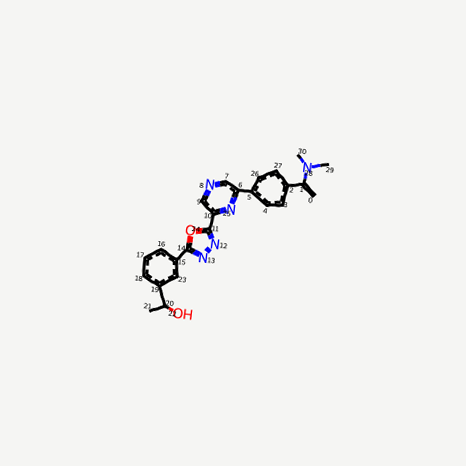 C=C(c1ccc(-c2cncc(-c3nnc(-c4cccc(C(C)O)c4)o3)n2)cc1)N(C)C